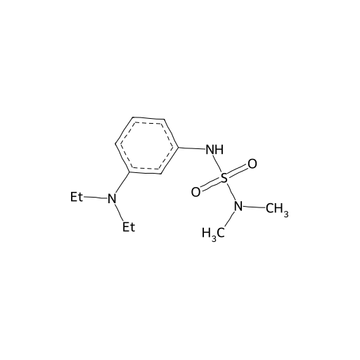 CCN(CC)c1cccc(NS(=O)(=O)N(C)C)c1